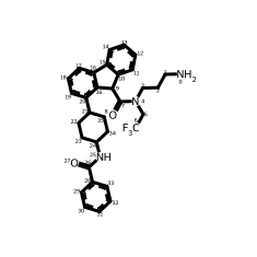 NCCCN(CC(F)(F)F)C(=O)C1c2ccccc2-c2cccc(C3CCC(NC(=O)c4ccccc4)CC3)c21